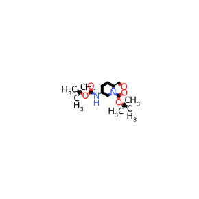 CC(C)(C)OC(=O)N[C@@H]1CC[C@@H](C=O)N(C(=O)OC(C)(C)C)C1